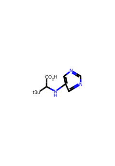 CC(C)(C)C(Nc1cncnc1)C(=O)O